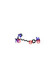 Cc1noc(CCCCCCCOc2ccc(C3=NCCO3)cc2)c1Cn1cccc1